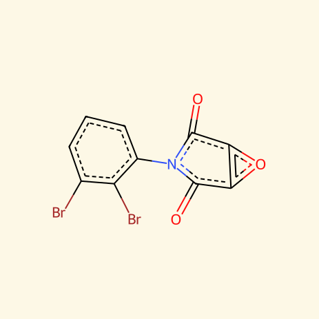 O=c1c2oc=2c(=O)n1-c1cccc(Br)c1Br